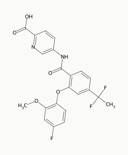 COc1cc(F)ccc1Oc1cc(C(C)(F)F)ccc1C(=O)Nc1ccc(C(=O)O)nc1